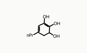 CCCC1=CC(O)=C(O)C(O)C1